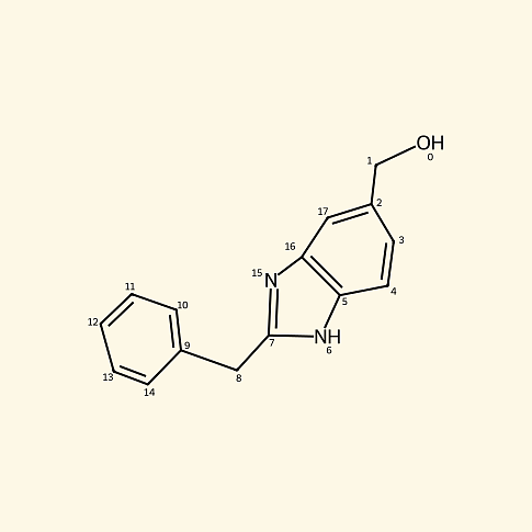 OCc1ccc2[nH]c(Cc3ccccc3)nc2c1